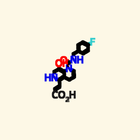 O=C(O)/C=C/C1=C2CC=CN(C(=O)NCc3ccc(F)cc3)C2=C(O)CN1